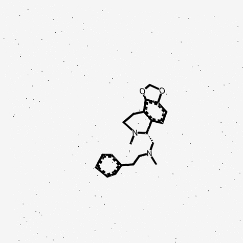 CN(CCc1ccccc1)C[C@H]1c2ccc3c(c2CCN1C)OCO3